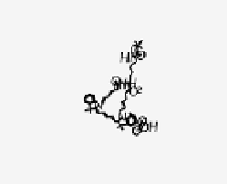 CC(C)(C)OC(=O)NCCCCCNC(=O)CCCCC[N+]1=C(C=CC=CC=C2N(CCCCCC(N)=O)c3ccccc3C2(C)C)C(C)(C)c2cc(S(=O)(=O)O)ccc21